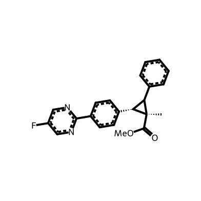 COC(=O)[C@]1(C)C(c2ccccc2)[C@H]1c1ccc(-c2ncc(F)cn2)cc1